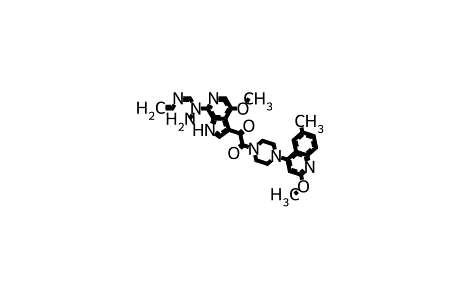 C=C/N=C\N(N)c1ncc(OC)c2c(C(=O)C(=O)N3CCN(c4cc(OC)nc5ccc(C)cc45)CC3)c[nH]c12